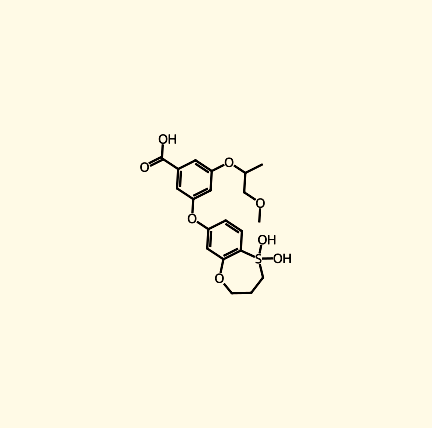 COCC(C)Oc1cc(Oc2ccc3c(c2)OCCCS3(O)O)cc(C(=O)O)c1